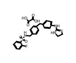 O=C(O)C(=O)O.O=S(=O)(NCc1ccc(Cc2ccc(NC3=NCCN3)cc2)cc1)c1ccccc1F